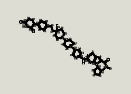 CN(C)C(=O)c1cc2cnc(Nc3ccc(N4CCC(N5CCC(F)(CCc6ccc(C7CCC(=O)NC7=O)cc6)CC5)CC4)cn3)nc2n1C1CCCC1